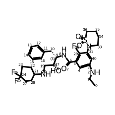 CCNc1cc(C(=O)N[C@@H](Cc2ccccc2)[C@H](O)CNC2CCC(F)(F)CC2)c(F)c(N2CCCCS2(=O)=O)c1